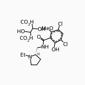 CCN1CCC[C@H]1CNC(=O)c1c(O)c(Cl)cc(Cl)c1OC.O=C(O)C(O)C(O)C(=O)O